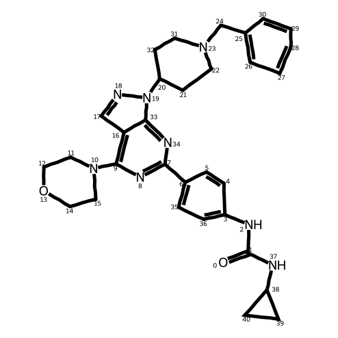 O=C(Nc1ccc(-c2nc(N3CCOCC3)c3cnn(C4CCN(Cc5ccccc5)CC4)c3n2)cc1)NC1CC1